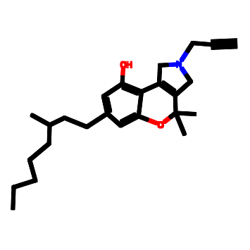 C#CCN1CC2=C(C1)C(C)(C)Oc1cc(CCC(C)CCCCC)cc(O)c12